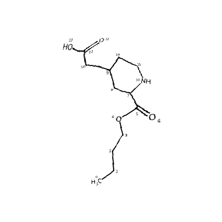 CCCCOC(=O)C1CC(CC(=O)O)CCN1